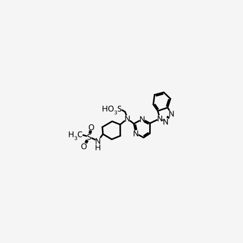 CS(=O)(=O)NC1CCC(N(CS(=O)(=O)O)c2nccc(-n3nnc4ccccc43)n2)CC1